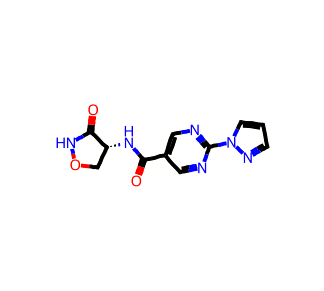 O=C(N[C@@H]1CONC1=O)c1cnc(-n2cccn2)nc1